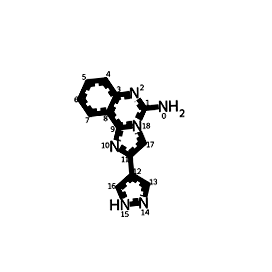 Nc1nc2ccccc2c2nc(-c3cn[nH]c3)cn12